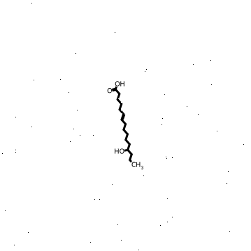 CCCC(O)CCCCC/C=C/CCCCC(=O)O